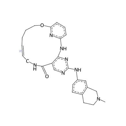 CN1CCc2ccc(Nc3ncc4c(n3)Nc3cccc(n3)OCCC/C=C\CNC4=O)cc2C1